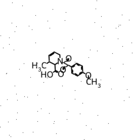 COc1ccc(S(=O)(=O)N2CC=CC(C)C2C(=O)O)cc1